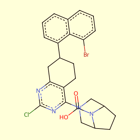 O=C(O)N1C2CCC1CN(c1nc(Cl)nc3c1CCC(c1cccc4cccc(Br)c14)C3)C2